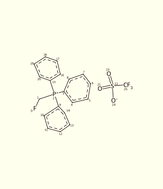 FC[P+](c1ccccc1)(c1ccccc1)c1ccccc1.O=S(=O)([O-])C(F)(F)F